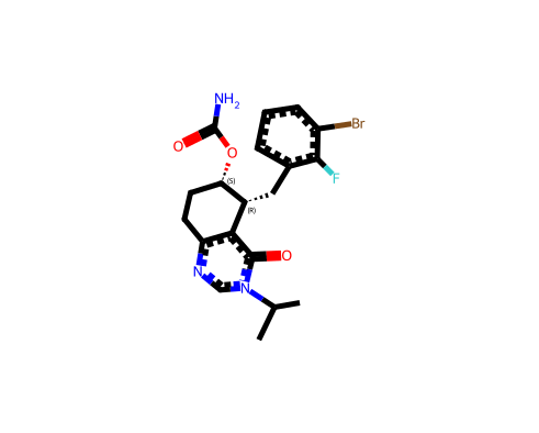 CC(C)n1cnc2c(c1=O)[C@@H](Cc1cccc(Br)c1F)[C@@H](OC(N)=O)CC2